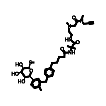 C#CCN(C)C(=O)CN(C)CCNC(=O)C(C)(C)NC(=O)CCCCc1ccc(Cc2cc([C@@H]3O[C@H](SC)[C@@H](O)[C@H](O)[C@H]3O)ccc2C)cc1